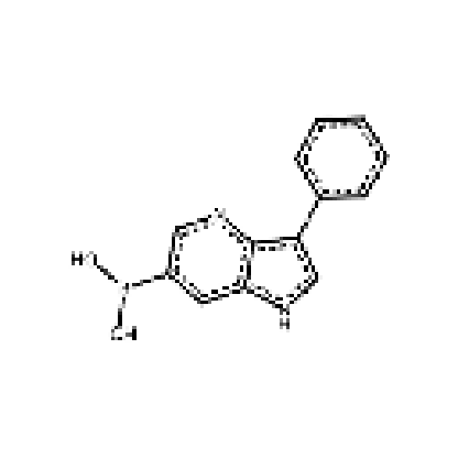 OB(O)c1cnc2c(-c3ccccc3)c[nH]c2c1